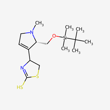 CN1CC=C(C2CSC(S)=N2)[C@H]1CO[Si](C)(C)C(C)(C)C